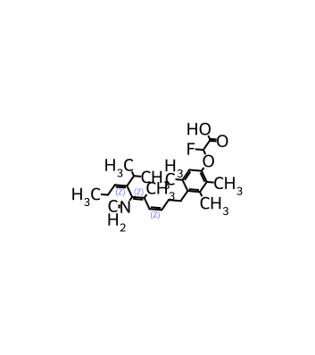 C=NC(/C(=C\CC)C(C)C)=C(C)\C=C/CCc1c(C)cc(OC(F)C(=O)O)c(C)c1C